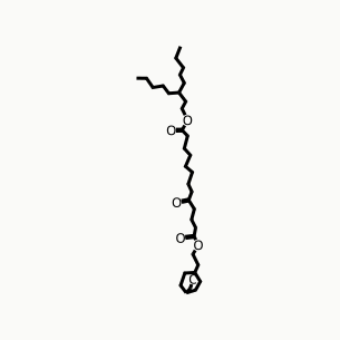 CCCCCC(CCCCC)CCOC(=O)CCCCCCCC(=O)CCCC(=O)OCCC12CCC(CC1)CC2